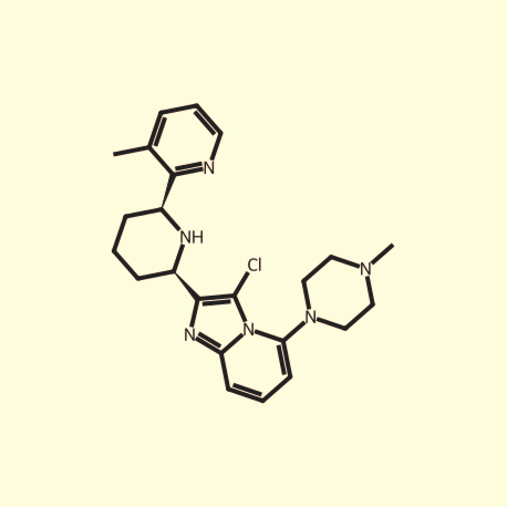 Cc1cccnc1[C@@H]1CCC[C@H](c2nc3cccc(N4CCN(C)CC4)n3c2Cl)N1